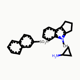 Cn1c2c(c3ccccc31)CCC2.NC1CC1.O=S(=O)(O)c1ccc2ccccc2c1